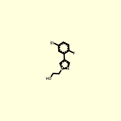 CCc1ccc(F)c(-c2cnn(CCO)c2)c1